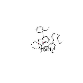 CCc1ccccc1-c1cccc2c1C=C[CH]2[Hf]([CH3])([CH3])([CH3])(=[SiH2])([CH]1CCCCC1)[CH]1C=Cc2c(-c3ccccc3CC)cccc21